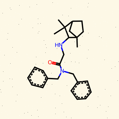 CC12CCC(C1)C(C)(C)C2NCC(=O)N(Cc1ccccc1)Cc1ccccc1